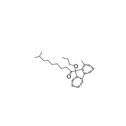 CCCOC1(C(=O)CCCCCCC(C)C)c2ccccc2-c2cccc(C)c21